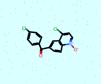 O=C(c1ccc(Cl)cc1)c1ccc2c(c1)c(Cl)cc[n+]2[O-]